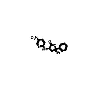 CC(C)C1(c2ccccc2)CC(Nc2ccc([N+](=O)[O-])cn2)C(=O)O1